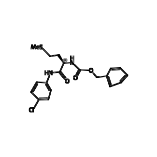 CSCC[C@@H](NC(=O)OCc1ccccc1)C(=O)Nc1ccc(Cl)cc1